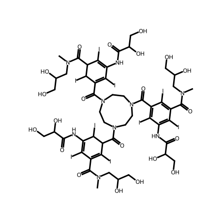 CN(CC(O)CO)C(=O)C1=C(I)C(C(=O)N2CCN(C(=O)C3=C(I)C(NC(=O)C(O)CO)=C(I)C(C(=O)N(C)CC(O)CO)C3I)CCN(C(=O)c3c(I)c(NC(=O)C(O)CO)c(I)c(C(=O)N(C)CC(O)CO)c3I)CC2)C(I)C(NC(=O)C(O)CO)=C1I